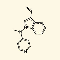 C=Cc1cn(N(C)c2ccncc2)c2ccccc12